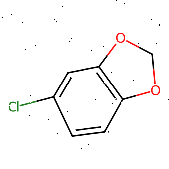 Clc1c[c]c2c(c1)OCO2